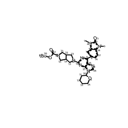 Cn1c(=O)n(C)c2cc(-c3nc(N4CC5CN(C(=O)OC(C)(C)C)CC5C4)nc4c3ncn4C3CCCCO3)ccc21